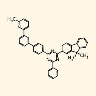 Cc1cccc(-c2cccc(-c3ccc(-c4nc(-c5ccccc5)nc(-c5ccc6c(c5)C(C)(C)c5ccccc5-6)n4)cc3)c2)n1